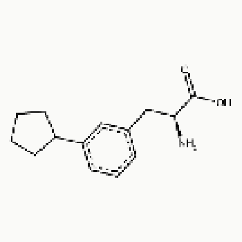 N[C@@H](Cc1cccc(C2CCCC2)c1)C(=O)O